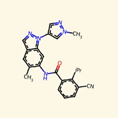 Cc1cc2cnn(-c3cnn(C)c3)c2cc1NC(=O)c1cccc(C#N)c1C(C)C